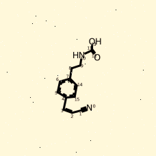 N#C/C=C\c1ccc(CCNC(=O)O)cc1